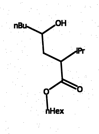 CCCCCCOC(=O)C(CC(O)CCCC)C(C)C